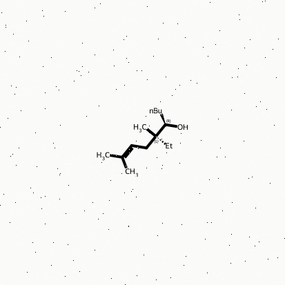 CCCC[C@@H](O)[C@@](C)(CC)CC=C(C)C